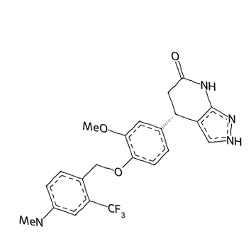 CNc1ccc(COc2ccc([C@@H]3CC(=O)Nc4n[nH]cc43)cc2OC)c(C(F)(F)F)c1